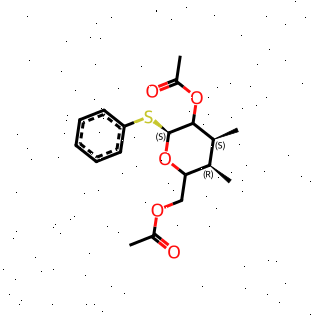 CC(=O)OCC1O[C@@H](Sc2ccccc2)C(OC(C)=O)[C@@H](C)[C@H]1C